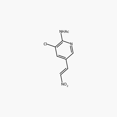 CC(=O)Nc1ncc(C=C[N+](=O)[O-])cc1Cl